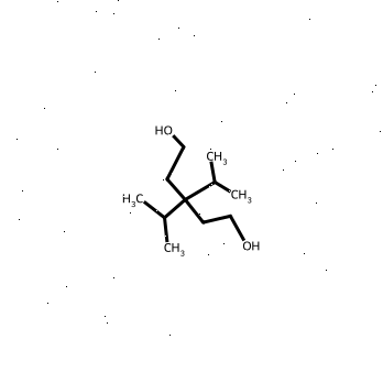 CC(C)C(CCO)(CCO)C(C)C